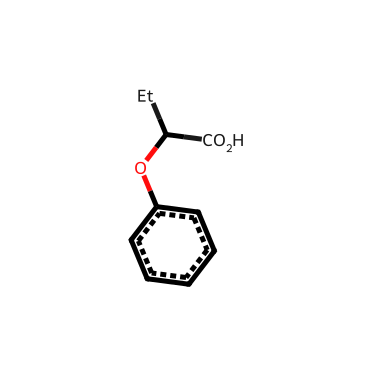 CCC(Oc1ccccc1)C(=O)O